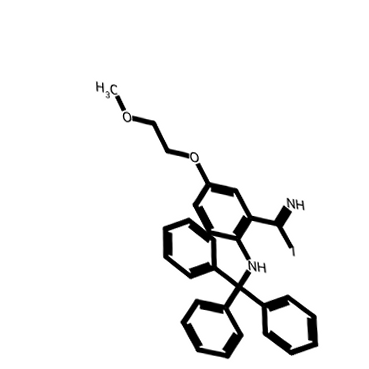 COCCOc1ccc(NC(c2ccccc2)(c2ccccc2)c2ccccc2)c(C(=N)I)c1